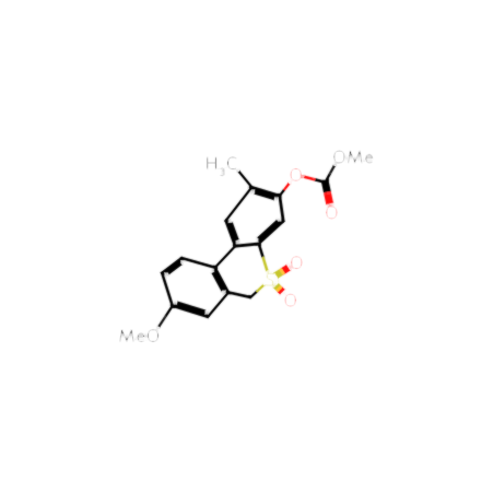 COC(=O)Oc1cc2c(cc1C)-c1ccc(OC)cc1CS2(=O)=O